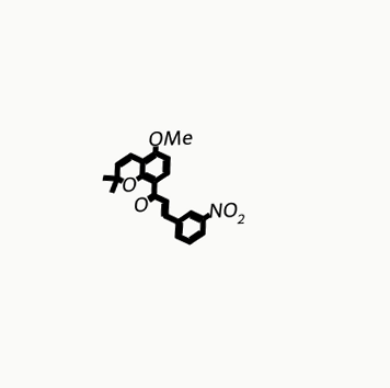 COc1ccc(C(=O)C=Cc2cccc([N+](=O)[O-])c2)c2c1C=CC(C)(C)O2